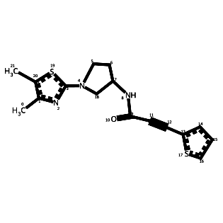 Cc1nc(N2CCC(NC(=O)C#Cc3cccs3)C2)sc1C